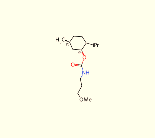 COCCCNC(=O)O[C@H]1C[C@@H](C)CCC1C(C)C